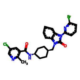 Cc1ncc(Cl)cc1C(=O)N[C@H]1CC[C@H](Cn2c(=O)n(-c3cccc(Br)n3)c3ccccc32)CC1